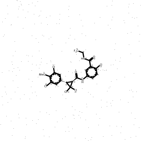 COc1c(Cl)cc([C@@H]2[C@@H](C(=O)Nc3ccc(Cl)c(C(=O)NCC(F)(F)F)c3)C2(Cl)Cl)cc1Cl